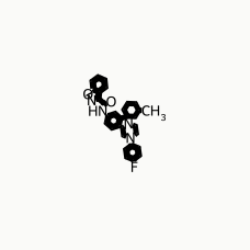 CC1CCCC(c2cccc(NC(=O)c3noc4ccccc34)c2)(N2CCN(c3ccc(F)cc3)CC2)C1